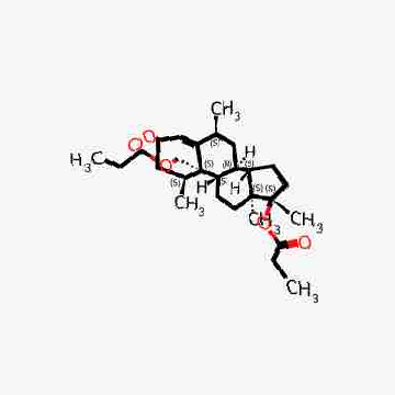 CCC(=O)OC[C@@]12C(=CC(=O)C[C@@H]1C)[C@@H](C)C[C@@H]1[C@@H]2CC[C@@]2(C)[C@H]1CC[C@]2(C)OC(=O)CC